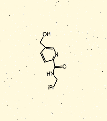 CC(C)CNC(=O)c1ccc(CO)cn1